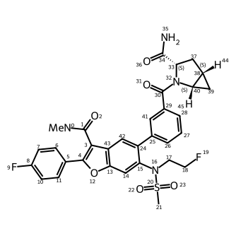 CNC(=O)c1c(-c2ccc(F)cc2)oc2cc(N(CCF)S(C)(=O)=O)c(-c3cccc(C(=O)N4[C@H](C(N)=O)C[C@@H]5C[C@@H]54)c3)cc12